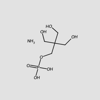 N.O=P(O)(O)OCC(CO)(CO)CO